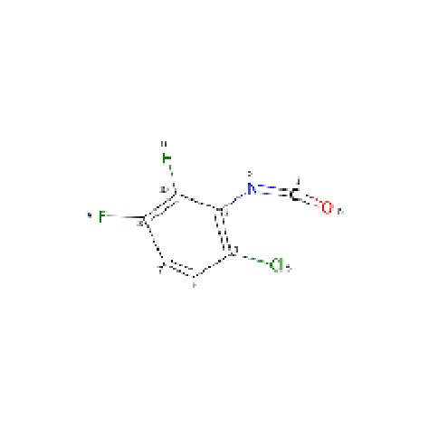 O=C=Nc1c(Cl)ccc(F)c1F